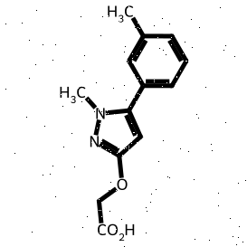 Cc1cccc(-c2cc(OCC(=O)O)nn2C)c1